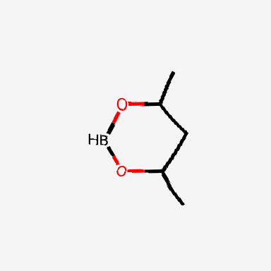 CC1CC(C)OBO1